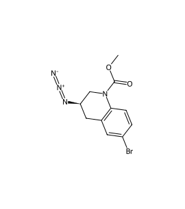 COC(=O)N1C[C@H](N=[N+]=[N-])Cc2cc(Br)ccc21